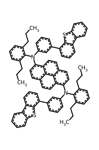 CCCc1cccc(CCC)c1N(c1cccc(-c2cccc3c2sc2ccccc23)c1)c1ccc2ccc3c(N(c4cccc(-c5cccc6c5sc5ccccc56)c4)c4c(CCC)cccc4CCC)ccc4ccc1c2c43